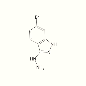 NNc1n[nH]c2cc(Br)ccc12